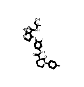 C[C@H](CO)Nc1n[nH]c2nccc(Oc3ccc(NC(=O)C4CCCN(c5ccc(F)cc5)C4=O)cc3F)c12